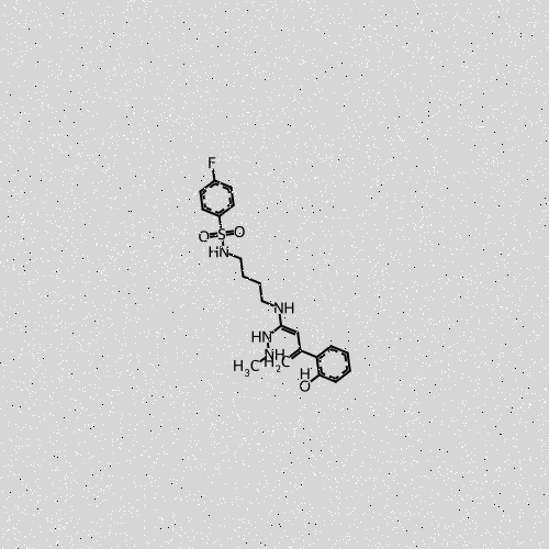 C=C(/C=C(/NCCCCNS(=O)(=O)c1ccc(F)cc1)NNC)c1ccccc1O